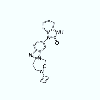 O=c1[nH]c2ccccc2n1-c1ccc2nc3n(c2c1)CCN(C1=CC=C1)CC3